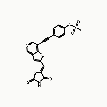 CS(=O)(=O)Nc1ccc(C#Cc2cncc3cc(/C=C4\SC(=S)NC4=O)oc23)cc1